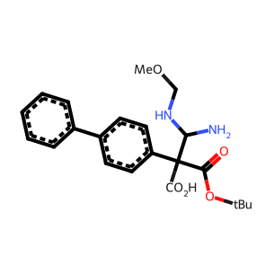 COCNC(N)C(C(=O)O)(C(=O)OC(C)(C)C)c1ccc(-c2ccccc2)cc1